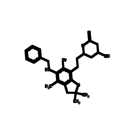 Cc1c2c(c(CCC3CC(O)CC(=O)O3)c(C(C)C)c1NCc1ccccc1)OC(C)(C)C2